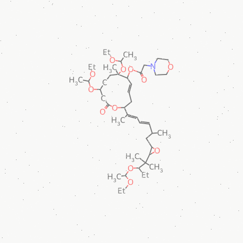 CCOC(C)OC1CCC(C)(OC(C)OCC)C(OC(=O)CN2CCOCC2)/C=C/CC(C(C)=CC=CC(C)CC2OC2C(C)(C)C(CC)OC(C)OCC)OC(=O)C1